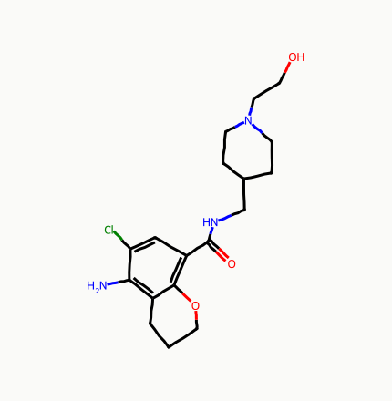 Nc1c(Cl)cc(C(=O)NCC2CCN(CCO)CC2)c2c1CCCO2